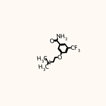 CN(C)CCOc1cc(C(N)=O)cc(C(F)(F)F)c1